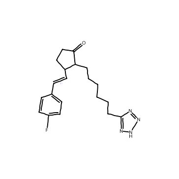 O=C1CCC(/C=C/c2ccc(F)cc2)C1CCCCCCc1nn[nH]n1